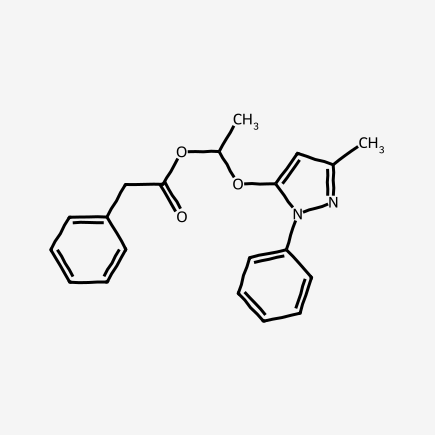 Cc1cc(OC(C)OC(=O)Cc2ccccc2)n(-c2ccccc2)n1